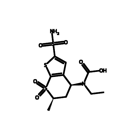 CCN(C(=O)O)[C@H]1C[C@H](C)S(=O)(=O)c2sc(S(N)(=O)=O)cc21